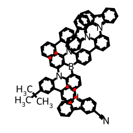 CC(C)(C)c1ccc(N2c3cc(-n4c5ccccc5c5cc(C#N)ccc54)ccc3B3c4ccc(-c5cccc(-n6c7ccccc7c7ccccc76)c5-n5c6ccccc6c6ccccc65)cc4N(c4ccccc4-c4ccccc4)c4cccc2c43)c(-c2ccccc2)c1